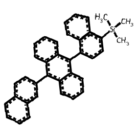 C[Si](C)(C)c1ccc(-c2c3ccccc3c(-c3ccc4ccccc4c3)c3ccccc23)c2ccccc12